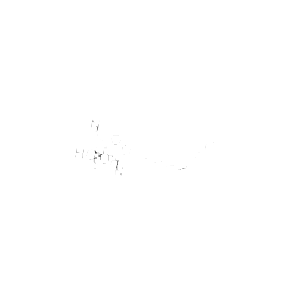 CCCCCCCC/C=C\CCCCCCCCOCC(OC)C(CCC#N)(CCC#N)OP(O)(O)=S